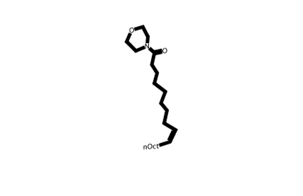 CCCCCCCC/C=C\CCCCCCCC(=O)N1CCOCC1